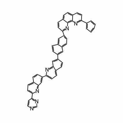 c1ccc(-c2ccc3ccc4ccc(-c5ccc6cc(-c7ccc8ccc(-c9ccc%10ccc(-c%11ccncn%11)nc%10c9)nc8c7)ccc6c5)nc4c3n2)cc1